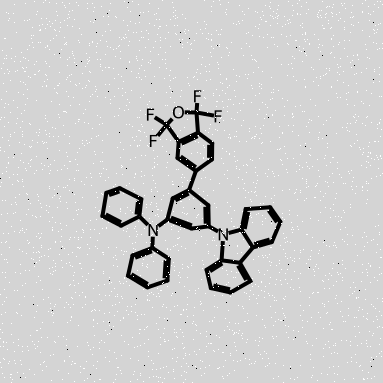 FC1(F)OC(F)(F)c2cc(-c3cc(N(c4ccccc4)c4ccccc4)cc(-n4c5ccccc5c5ccccc54)c3)ccc21